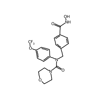 O=C(NO)c1ccc(CN(C(=O)N2CCOCC2)c2ccc(OC(F)(F)F)cc2)cc1